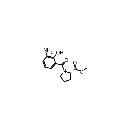 COC(=O)[C@@H]1CCCN1C(=O)c1cccc(N)c1O